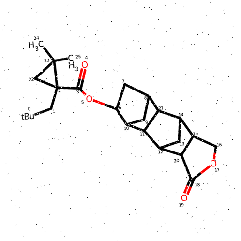 CC(C)(C)CC1(C(=O)OC2CC3CC2C2C4CC(C5COC(=O)C54)C32)CC1(C)C